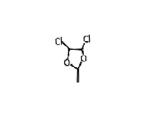 CC1OC(Cl)C(Cl)O1